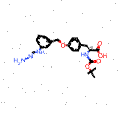 CC(C)(C)OC(=O)N[C@@H](Cc1ccc(OCc2cccc(NC=NN)c2)cc1)C(=O)O